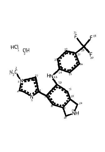 Cl.Cl.Cn1cnc(-c2cc3c(cc2Nc2ccc(C(F)(F)F)cc2)CNC3)c1